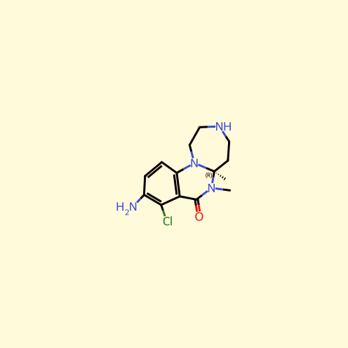 CN1C(=O)c2c(ccc(N)c2Cl)N2CCNCC[C@@]12C